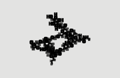 CCCC1O[C@@H]2C[C@H]3[C@@H]4CCC5=CC(=O)C=C[C@]5(C)[C@H]4[C@@H](O)C[C@]3(C)[C@]2(C(=O)COC(=O)OCc2ccc(NC(=O)[C@H](CCCNC(N)=O)NC(=O)[C@@H](NC(=O)[C@@H](CCC(=O)NC[C@H](O)[C@@H](O)[C@H](O)[C@H](O)CO)NC(=O)CCOCCOCCOCCOCCN3C(=O)C=CC3=O)C(C)C)cc2)O1